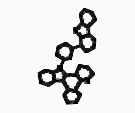 c1cc(-c2cccc3c2sc2ccccc23)cc(-n2c3ccccc3c3c4ccccc4c4ncccc4c32)c1